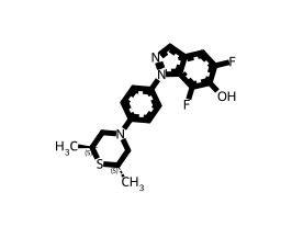 C[C@H]1CN(c2ccc(-n3ncc4cc(F)c(O)c(F)c43)cc2)C[C@H](C)S1